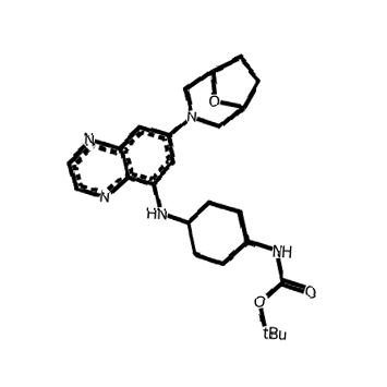 CC(C)(C)OC(=O)NC1CCC(Nc2cc(N3CC4CCC(C3)O4)cc3nccnc23)CC1